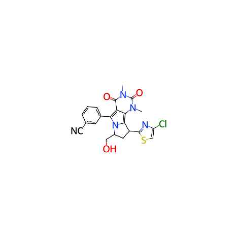 Cn1c(=O)c2c(-c3cccc(C#N)c3)n3c(c2n(C)c1=O)C(c1nc(Cl)cs1)CC3CO